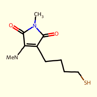 CNC1=C(CCCCS)C(=O)N(C)C1=O